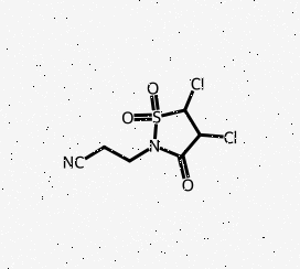 N#CCCN1C(=O)C(Cl)C(Cl)S1(=O)=O